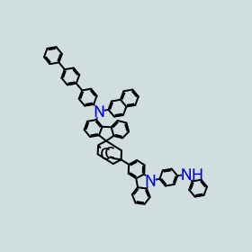 c1ccc(Nc2ccc(-n3c4ccccc4c4cc(C56CCC7CC(CC(C5)C75c7ccccc7-c7c(N(c8ccc(-c9ccc(-c%10ccccc%10)cc9)cc8)c8ccc9ccccc9c8)cccc75)C6)ccc43)cc2)cc1